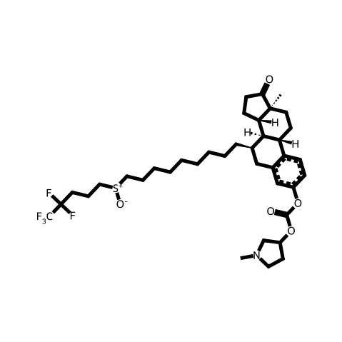 CN1CCC(OC(=O)Oc2ccc3c(c2)C[C@@H](CCCCCCCCC[S+]([O-])CCCC(F)(F)C(F)(F)F)[C@@H]2[C@@H]3CC[C@]3(C)C(=O)CC[C@@H]23)C1